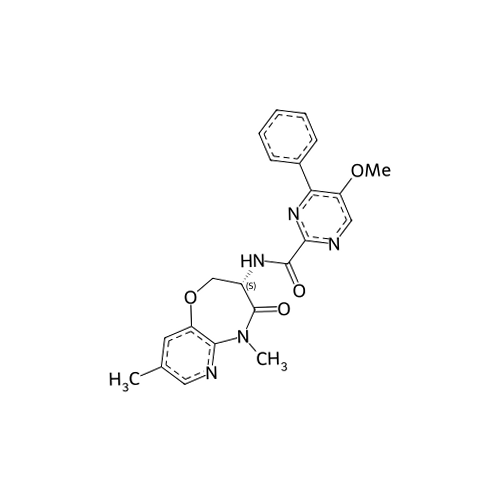 COc1cnc(C(=O)N[C@H]2COc3cc(C)cnc3N(C)C2=O)nc1-c1ccccc1